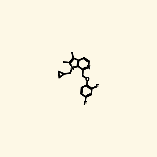 Cc1c(C)n(CC2CC2)c2c(COc3ccc(F)cc3F)nccc12